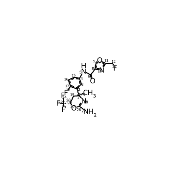 C[C@]1(c2cc(NC(=O)c3coc(CF)n3)ccc2F)C[C@@H](C(F)(F)F)OC(N)=N1